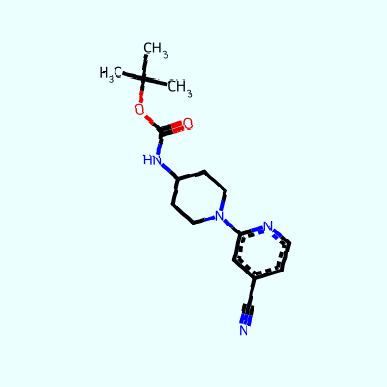 CC(C)(C)OC(=O)NC1CCN(c2cc(C#N)ccn2)CC1